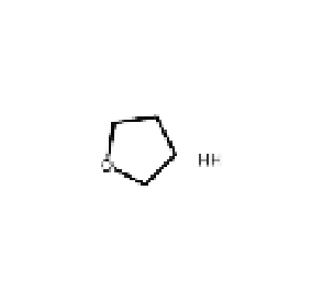 C1CCOC1.[HH]